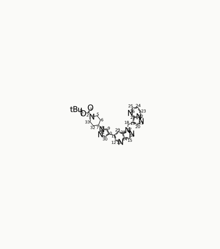 CC(C)(C)OC(=O)N1CCC(n2cc(-c3cnc4cnn(Cc5cnn6cccnc56)c4c3)cn2)CC1